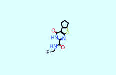 CC(C)CNC(=O)c1nc2sc3c(c2c(=O)[nH]1)CCC3